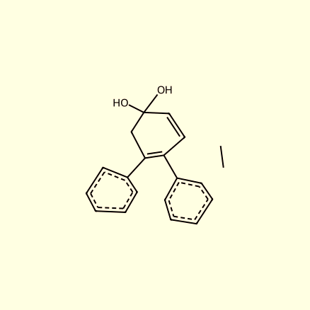 CC.OC1(O)C=CC(c2ccccc2)=C(c2ccccc2)C1